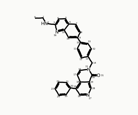 CCNc1ccc2ccc(-c3ccc(Cn4ccc5c(-c6ccccc6)cncc5c4=O)cc3)cc2n1